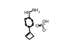 NNc1ccc(C2=CCC2)cc1.O=[N+]([O-])O